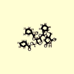 CCC1=CC([C@@H]2O[C@H](COC(=O)c3ccccc3)C(OC(=O)c3ccccc3)C2OC(=O)c2ccccc2)C(=O)NC1=O